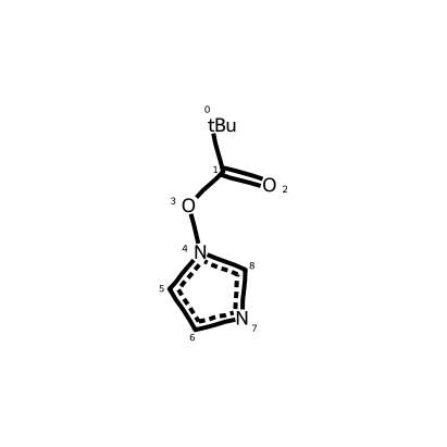 CC(C)(C)C(=O)On1ccnc1